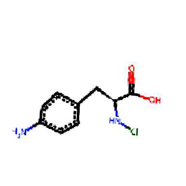 Nc1ccc(C[C@H](NCl)C(=O)O)cc1